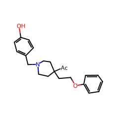 CC(=O)C1(CCOc2ccccc2)CCN(Cc2ccc(O)cc2)CC1